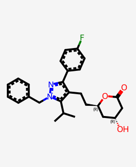 CC(C)c1c(CC[C@@H]2C[C@@H](O)CC(=O)O2)c(-c2ccc(F)cc2)nn1Cc1ccccc1